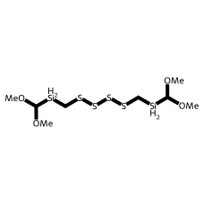 COC(OC)[SiH2]CSSSSC[SiH2]C(OC)OC